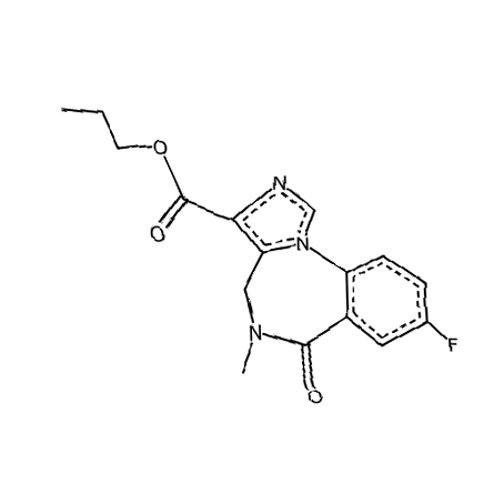 CCCOC(=O)c1ncn2c1CN(C)C(=O)c1cc(F)ccc1-2